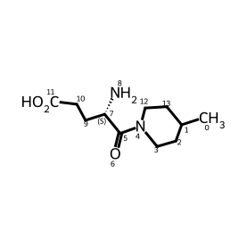 CC1CCN(C(=O)[C@@H](N)CCC(=O)O)CC1